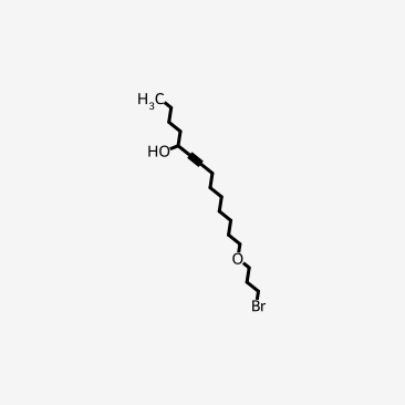 CCCCC(O)C#CCCCCCCCOCCCBr